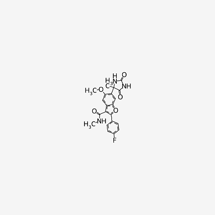 CNC(=O)c1c(-c2ccc(F)cc2)oc2cc(C3(C)NC(=O)NC3=O)c(OC)cc12